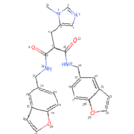 Cn1cncc1CC(C(=O)NCc1ccc2occc2c1)C(=O)NCc1ccc2occc2c1